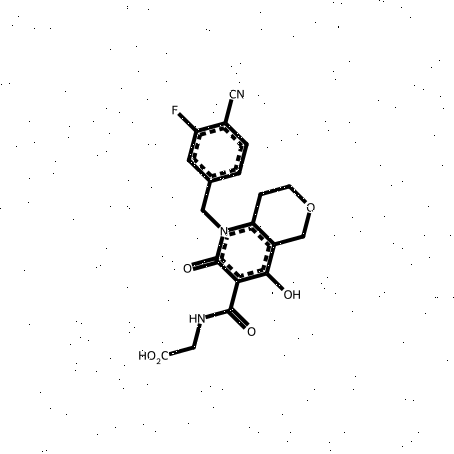 N#Cc1ccc(Cn2c3c(c(O)c(C(=O)NCC(=O)O)c2=O)COCC3)cc1F